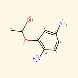 CC(O)Oc1cc(N)ccc1N